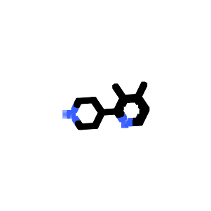 Cc1ccnc(C2CCNCC2)c1C